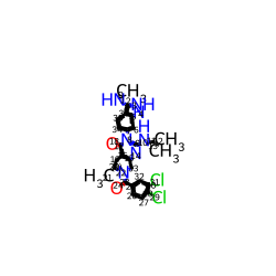 CNc1[nH]nc2cc(-n3c(NC(C)C)nc4c(c3=O)C[C@@H](C)N(C(=O)c3ccc(Cl)c(Cl)c3)C4)ccc12